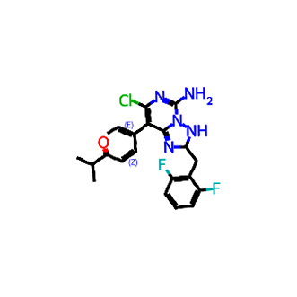 C/C=C(\C=C/C(=O)C(C)C)C1=C(Cl)N=C(N)N2NC(Cc3c(F)cccc3F)N=C12